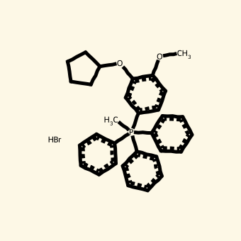 Br.COc1ccc(P(C)(c2ccccc2)(c2ccccc2)c2ccccc2)cc1OC1CCCC1